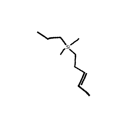 CC=CCC[Si](C)(C)CCC